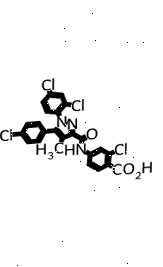 Cc1c(C(=O)Nc2ccc(C(=O)O)c(Cl)c2)nn(-c2ccc(Cl)cc2Cl)c1-c1ccc(Cl)cc1